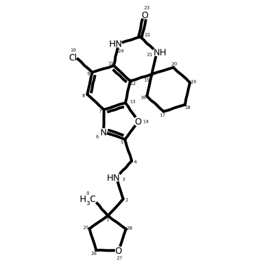 CC1(CNCc2nc3cc(Cl)c4c(c3o2)C2(CCCCC2)NC(=O)N4)CCOC1